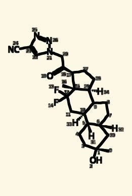 C[C@@]1(O)CC[C@H]2[C@H](CCC3[C@@H]2CC(F)(F)[C@]2(C)[C@@H](C(=O)Cn4cc(C#N)nn4)CC[C@@H]32)C1